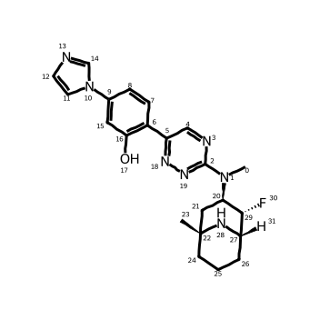 CN(c1ncc(-c2ccc(-n3ccnc3)cc2O)nn1)[C@@H]1C[C@@]2(C)CCC[C@H](N2)[C@H]1F